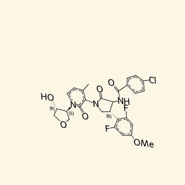 COc1cc(F)c([C@@H]2CN(c3c(C)ccn([C@H]4COC[C@@H]4O)c3=O)C(=O)C2NC(=O)c2ccc(Cl)cc2)c(F)c1